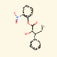 CCC(c1ccccc1)C(O)C(=O)Oc1ccccc1[N+](=O)[O-]